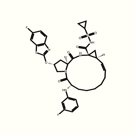 O=C1N[C@]2(C(=O)NS(=O)(=O)C3CC3)C[C@H]2/C=C\CCCCC[C@H](Nc2cccc(F)c2)C(=O)N2C[C@H](Oc3nc4ccc(F)cc4s3)C[C@@H]12